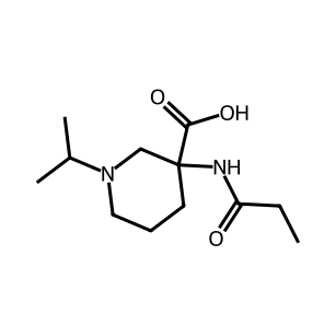 CCC(=O)NC1(C(=O)O)CCCN(C(C)C)C1